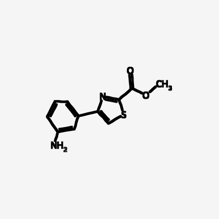 COC(=O)c1nc(-c2cccc(N)c2)cs1